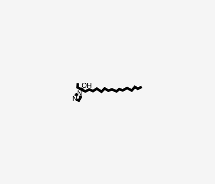 CCCCCCCCCCCCCCCCC(O)(CC)N1C=NCC1